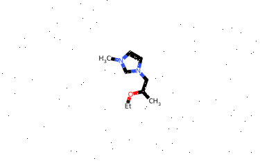 CCOC(C)CN1C=CN(C)C1